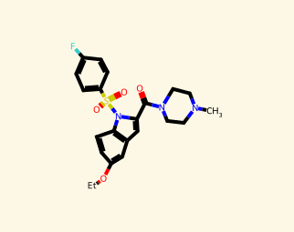 CCOc1ccc2c(c1)cc(C(=O)N1CCN(C)CC1)n2S(=O)(=O)c1ccc(F)cc1